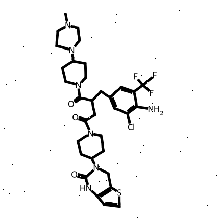 CN1CCN(C2CCN(C(=O)C(CC(=O)N3CCC(N4Cc5sccc5NC4=O)CC3)Cc3cc(Cl)c(N)c(C(F)(F)F)c3)CC2)CC1